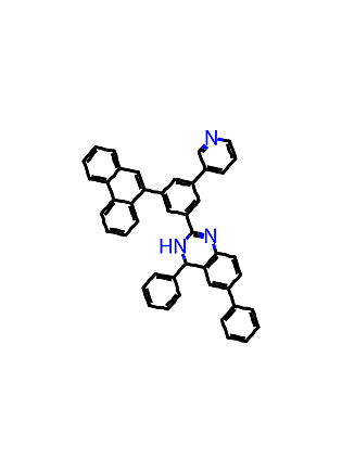 c1ccc(-c2ccc3c(c2)C(c2ccccc2)NC(c2cc(-c4cccnc4)cc(-c4cc5ccccc5c5ccccc45)c2)=N3)cc1